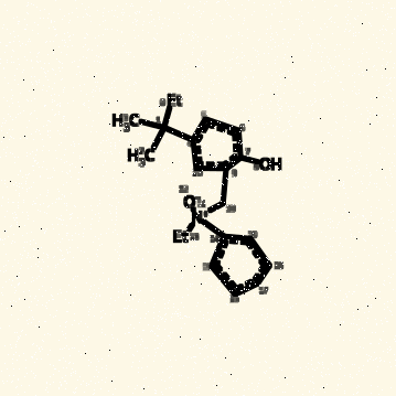 CCC(C)(C)c1ccc(O)c(C[N+]([O-])(CC)c2ccccc2)c1